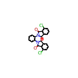 O=C1c2cccc(Cl)c2C(=O)N1c1ccccc1N1C(=O)c2cccc(Cl)c2C1=O